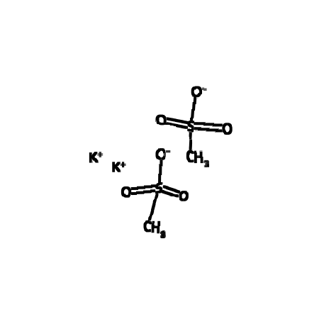 CS(=O)(=O)[O-].CS(=O)(=O)[O-].[K+].[K+]